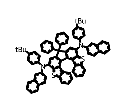 CC(C)(C)c1ccc(N(c2ccc3ccccc3c2)c2cc3c(c4c2sc2ccccc24)-c2c(cc(N(c4ccc(C(C)(C)C)cc4)c4ccc5ccccc5c4)c4sc5ccccc5c24)C3(c2ccccc2)c2ccccc2)cc1